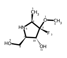 CO[C@@]1(F)[C@H](C)N[C@H](CO)[C@H]1O